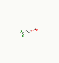 O=COCCCC(F)Br